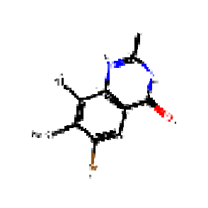 [2H]c1c(OC)c(Br)cc2c(=O)[nH]c(C)nc12